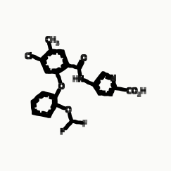 Cc1cc(C(=O)Nc2ccc(C(=O)O)nc2)c(Oc2ccccc2OC(F)F)cc1Cl